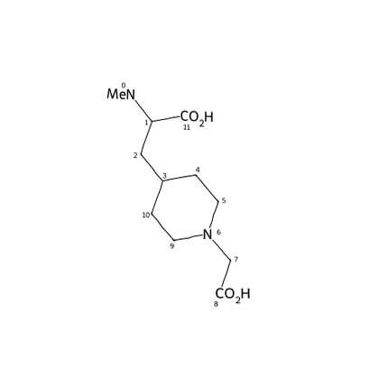 CNC(CC1CCN(CC(=O)O)CC1)C(=O)O